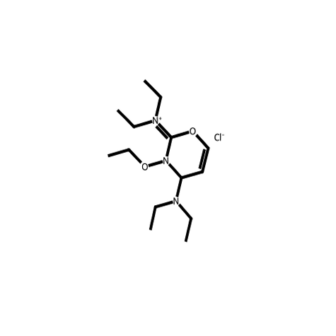 CCON1C(=[N+](CC)CC)OC=CC1N(CC)CC.[Cl-]